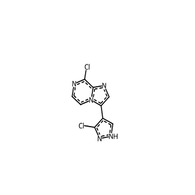 Clc1n[nH]cc1-c1cnc2c(Cl)nccn12